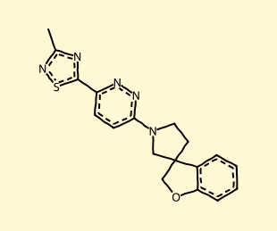 Cc1nsc(-c2ccc(N3CCC4(COc5ccccc54)C3)nn2)n1